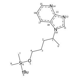 CC(CCCO[Si](C)(C)C(C)(C)C)n1cnc2ncccc21